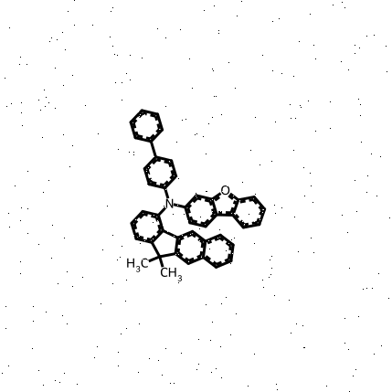 CC1(C)c2cc3ccccc3cc2-c2c(N(c3ccc(-c4ccccc4)cc3)c3ccc4c(c3)oc3ccccc34)cccc21